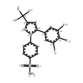 NS(=O)(=O)c1ccc(-n2nc(C(F)(F)F)cc2-c2cc(F)c(F)c(F)c2)cc1